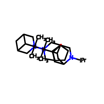 CC(C)N1CC2CCC1CC2C(C)(C)N1CC2CC(C1)C2C(C)(C)N1CC2CCC(C2)C1